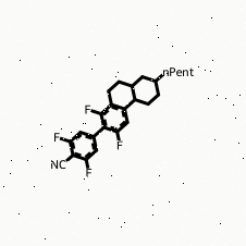 CCCCCC1CCC2c3cc(F)c(-c4cc(F)c(C#N)c(F)c4)c(F)c3CCC2C1